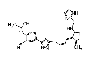 C=C1CCC(NCc2ncc[nH]2)/C1=C/C=C\Cc1nnc(-c2ccc(OC(C)C)c(C#N)c2)s1